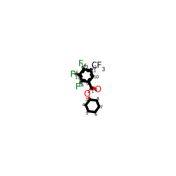 O=C(OC1CCCCC1)c1cc(C(F)(F)F)c(F)c(F)c1F